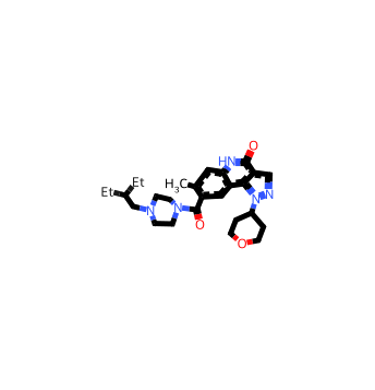 CCC(CC)CN1CCN(C(=O)c2cc3c(cc2C)[nH]c(=O)c2cnn(C4CCOCC4)c23)CC1